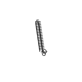 C=C(C(=O)OCC)C(F)(F)C(F)(F)C(F)(F)C(F)(F)C(F)(F)C(F)(F)C(F)(F)C(F)(F)C(F)(F)C(F)(F)C(F)(F)C(F)(F)C(F)(F)C(F)(F)C(F)(F)C(F)(F)C(F)(F)C(F)(F)F